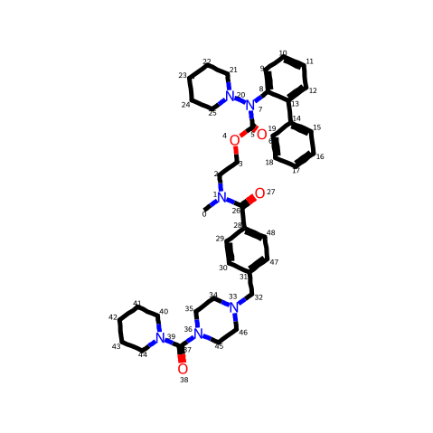 CN(CCOC(=O)N(c1ccccc1-c1ccccc1)N1CC[CH]CC1)C(=O)c1ccc(CN2CCN(C(=O)N3CCCCC3)CC2)cc1